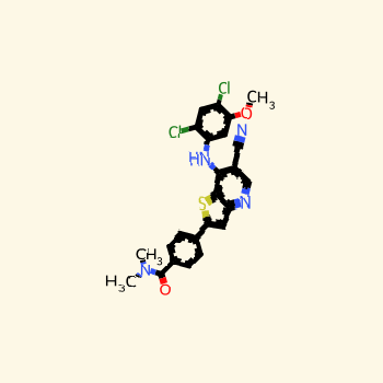 COc1cc(Nc2c(C#N)cnc3cc(-c4ccc(C(=O)N(C)C)cc4)sc23)c(Cl)cc1Cl